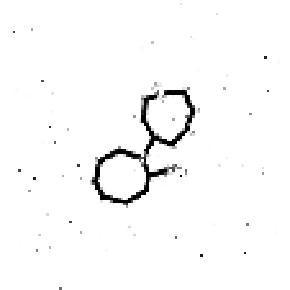 NC1CCCCCCN1C1CCCCCCC1